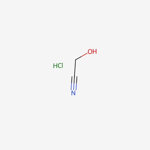 Cl.N#CCO